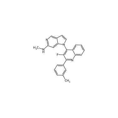 CNc1cc2c(ccn2-c2c(F)c(-c3cccc(C)c3)nc3ccccc23)cn1